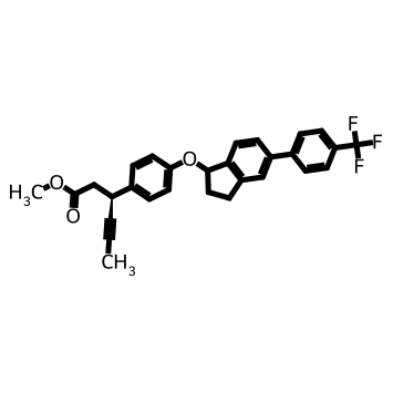 CC#C[C@@H](CC(=O)OC)c1ccc(OC2CCc3cc(-c4ccc(C(F)(F)F)cc4)ccc32)cc1